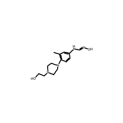 Cc1cc(N/C=N/O)ccc1N1CCN(CCO)CC1